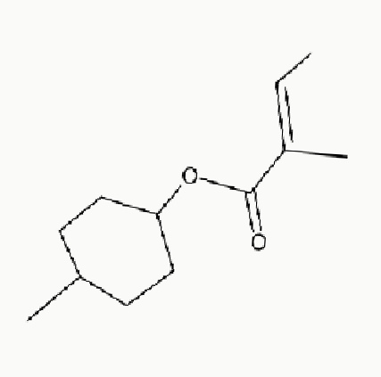 CC=C(C)C(=O)OC1CCC(C)CC1